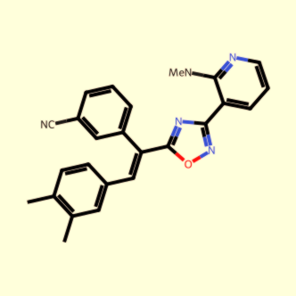 CNc1ncccc1-c1noc(/C(=C/c2ccc(C)c(C)c2)c2cccc(C#N)c2)n1